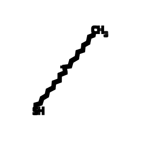 CCCCCCCCCC[CH]CCCCCCCCCCS